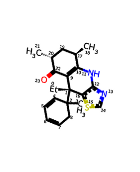 CC[C@@]1(C2(C)C=CC=CC2)C2=C(Nc3ncsc31)[C@H](C)C[C@@H](C)C2=O